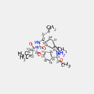 C=CCC(NC(=O)N1C(=O)C(CC)(CC)[C@@H]1Oc1ccc([C@@H](N)COC)cc1)c1ccc(C)cc1